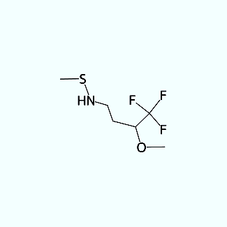 COC(CCNSC)C(F)(F)F